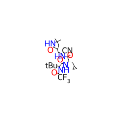 CN(C(=O)[C@@H](NC(=O)C(F)(F)F)C(C)(C)C)[C@@H](CC1CC1)C(=O)N[C@H](C#N)C[C@@H]1CC(C)(C)NC1=O